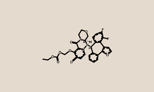 CCOC(=O)OCOc1c2n(ccc1=O)N([C@@H]1c3ccccc3-c3occc3-c3c1ccc(F)c3F)[C@@H]1COCCN1C2=O